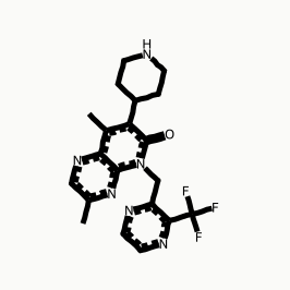 Cc1cnc2c(C)c(C3CCNCC3)c(=O)n(Cc3nccnc3C(F)(F)F)c2n1